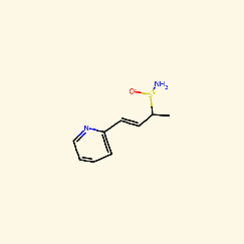 CC(C=Cc1ccccn1)[S+](N)[O-]